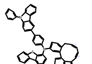 C=C1/C=C\C=C/Cc2ccc(N(c3ccc(-c4ccc5c(c4)c4ccccc4n5-c4ccccc4)cc3)c3cccc4c3sc3ccccc34)cc2-c2ccccc21